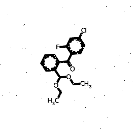 CCOC(OCC)c1ccccc1C(=O)c1ccc(Cl)cc1F